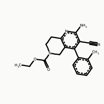 CCOC(=O)N1CCc2nc(N)c(C#N)c(-c3ccccc3C)c2C1